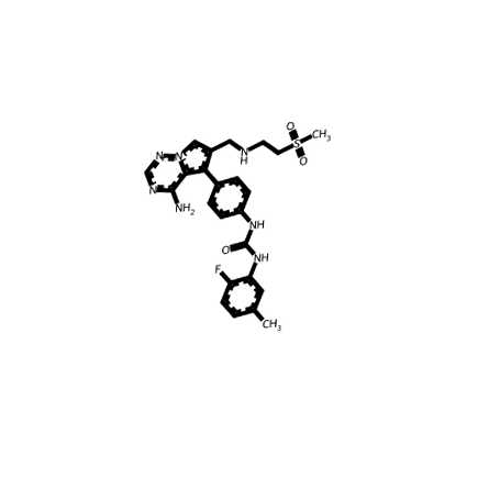 Cc1ccc(F)c(NC(=O)Nc2ccc(-c3c(CNCCS(C)(=O)=O)cn4ncnc(N)c34)cc2)c1